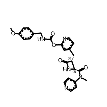 COc1ccc(CNC(=O)Oc2cc(C[C@H]3C(=O)N[C@@H]3C(=O)N(C)c3ccncc3)ccn2)cc1